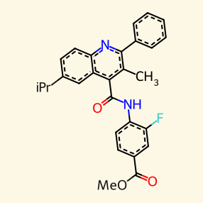 COC(=O)c1ccc(NC(=O)c2c(C)c(-c3ccccc3)nc3ccc(C(C)C)cc23)c(F)c1